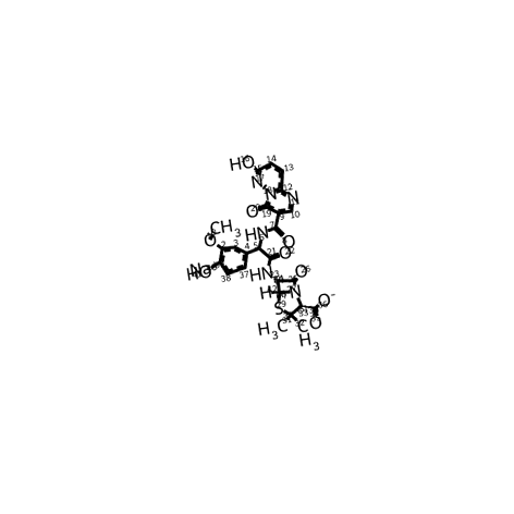 COc1cc(C(NC(=O)c2cnc3ccc(O)nn3c2=O)C(=O)N[C@@H]2C(=O)N3[C@@H]2SC(C)(C)[C@@H]3C(=O)[O-])ccc1O.[Na+]